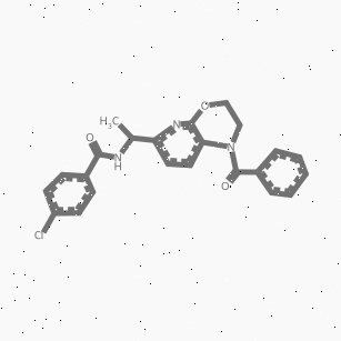 CC(NC(=O)c1ccc(Cl)cc1)c1ccc2c(n1)OCCN2C(=O)c1ccccc1